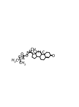 C/C(=N/OC(=O)C[N+](C)(C)C)C1CCC2C3CCC4=CC(=O)CCC4(C)C3CCC12C